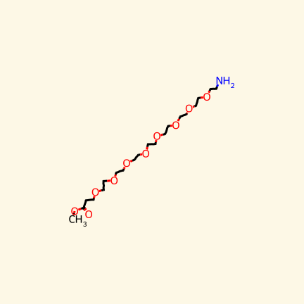 COC(=O)CCOCCOCCOCCOCCOCCOCCOCCOCCN